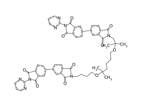 CC(C)(CCCCOC(C)(C)CN1C(=O)c2ccc(-c3ccc4c(c3)C(=O)N(c3ncccn3)C4=O)cc2C1=O)OCCCCN1C(=O)c2ccc(-c3ccc4c(c3)C(=O)N(c3ncccn3)C4=O)cc2C1=O